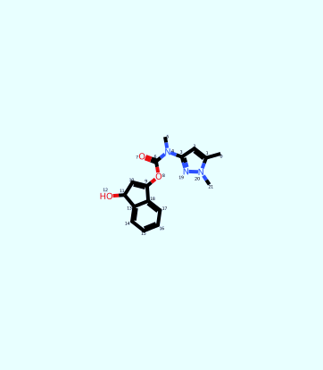 Cc1cc(N(C)C(=O)OC2=CC(O)c3ccccc32)nn1C